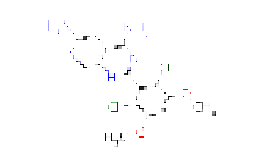 COc1cc(OC)c(Cl)c(-c2nc(N)c3cc(N)ncc3n2)c1Cl